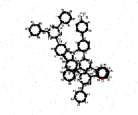 FC(F)(F)c1ccc(-c2ccc(-c3nc(-c4ccccc4)nc(-c4ccccc4)n3)c(-n3c4cc(-c5nc(-c6ccccc6)nc(-c6ccccc6)n5)ccc4c4ccc(-c5nc(-c6ccccc6)nc(-c6ccccc6)n5)cc43)c2)cc1